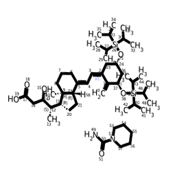 C=C1/C(=C\C=C2CCC[C@]3(C)[C@@H]([C@H](C)C(O)CC(=O)O)CC[C@@H]23)C[C@H](O[Si](C(C)C)(C(C)C)C(C)C)C[C@H]1O[Si](C(C)C)(C(C)C)C(C)C.NC(=O)N1CCCCC1